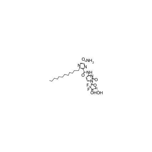 CCCCCCCCCCCCc1nccnc1C(=O)Nc1ccn([C@@H]2O[C@H](CO)[C@@H](O)C2(F)F)c(=O)n1.NC=O